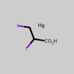 O=C(O)C(I)CI.[Hg]